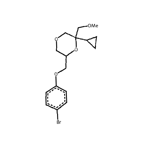 COCC1(C2CC2)COCC(COc2ccc(Br)cc2)O1